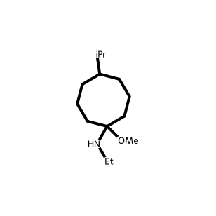 CCNC1(OC)CCCC(C(C)C)CCC1